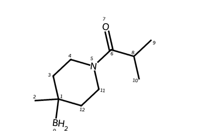 BC1(C)CCN(C(=O)C(C)C)CC1